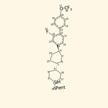 CCCCC[SiH]1CCC([C@H]2CC[C@H](c3ccc(-c4ccc(OC(F)(F)F)cc4)c(F)c3)CC2)CC1